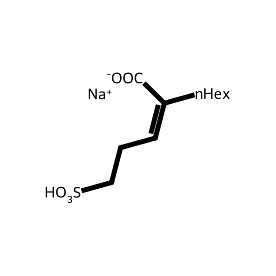 CCCCCCC(=CCCS(=O)(=O)O)C(=O)[O-].[Na+]